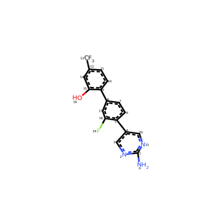 Nc1ncc(-c2ccc(-c3ccc(C(F)(F)F)cc3O)cc2F)cn1